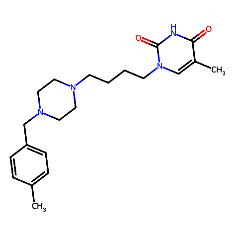 Cc1ccc(CN2CCN(CCCCn3cc(C)c(=O)[nH]c3=O)CC2)cc1